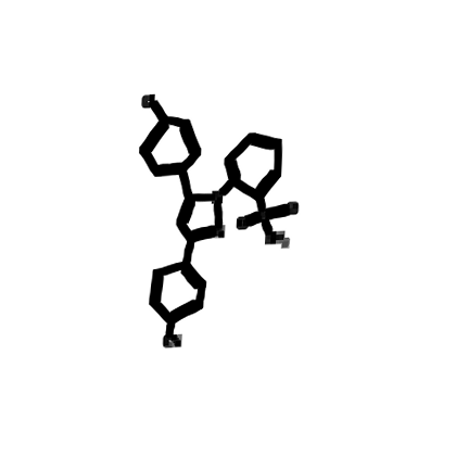 N#Cc1ccc(-c2cc(-c3ccc(Cl)cc3)n(-c3ccccc3S(N)(=O)=O)n2)cc1